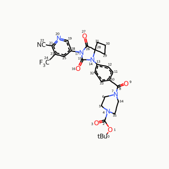 CC(C)(C)OC(=O)N1CCN(C(=O)c2ccc(N3C(=O)N(c4cnc(C#N)c(C(F)(F)F)c4)C(=O)C34CCC4)cc2)CC1